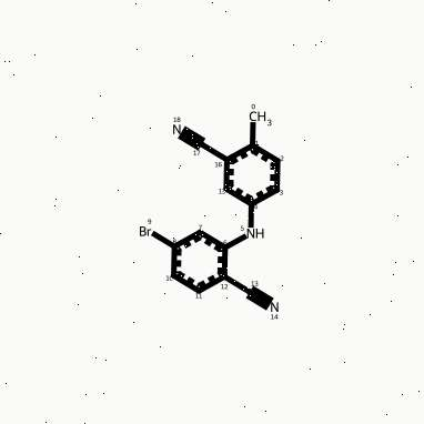 Cc1ccc(Nc2cc(Br)ccc2C#N)cc1C#N